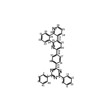 c1ccc(-c2nc(-c3ccccc3)nc(-c3ccc(-c4ccc5c6cccnc6c6ccccc6c5n4)cc3)n2)cc1